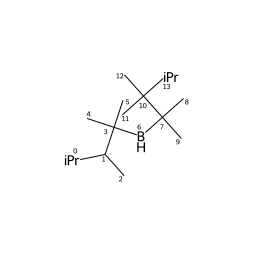 CC(C)C(C)C(C)(C)BC(C)(C)C(C)(C)C(C)C